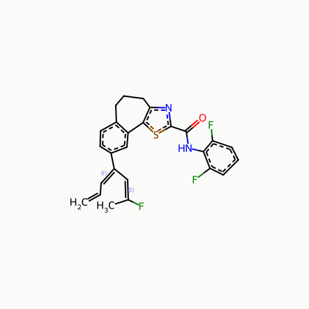 C=C/C=C(\C=C(/C)F)c1ccc2c(c1)-c1sc(C(=O)Nc3c(F)cccc3F)nc1CCC2